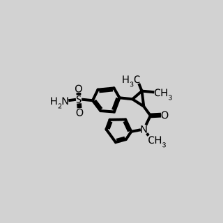 CN(C(=O)C1C(c2ccc(S(N)(=O)=O)cc2)C1(C)C)c1ccccc1